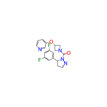 O=C(N1CC(Oc2cccnc2)C1)N1N=CCC1c1cc(F)cc(F)c1